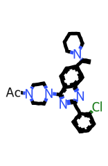 C=C(c1ccc2c(N3CCN(C(C)=O)CC3)nc(-c3ccccc3Cl)nc2c1)N1CCCCC1